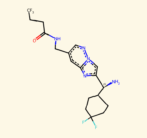 N[C@H](c1cn2ncc(CNC(=O)CCC(F)(F)F)cc2n1)C1CCC(F)(F)CC1